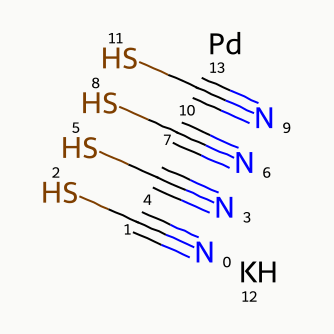 N#CS.N#CS.N#CS.N#CS.[KH].[Pd]